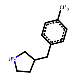 Cc1ccc(CC2CCNC2)cc1